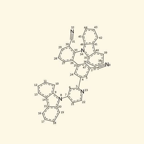 N#Cc1cc(-c2cc(-n3c4ccccc4c4ccccc43)ccn2)cc(-c2cccc(C#N)c2-n2c3ccccc3c3ccccc32)c1